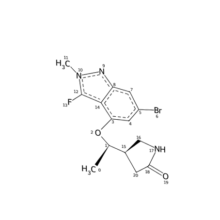 C[C@@H](Oc1cc(Br)cc2nn(C)c(F)c12)[C@H]1CNC(=O)C1